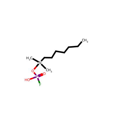 CCCCCCC[Si](C)(C)OP(=O)(O)F